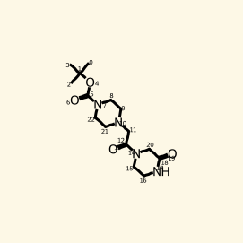 CC(C)(C)OC(=O)N1CCN(CC(=O)N2CCNC(=O)C2)CC1